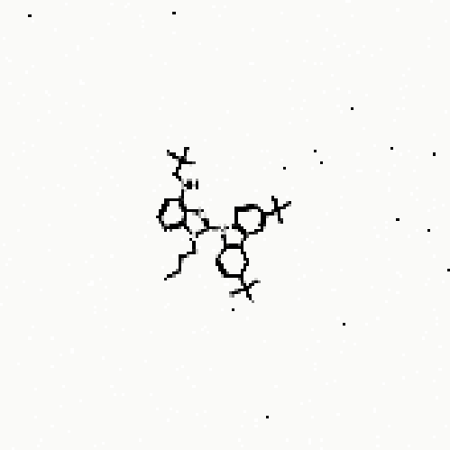 CCCCn1c(-n2c3c(c4cc(C(C)(C)C)ccc42)CC(C(C)(C)C)C=C3)nc2c(NCC(C)(C)C)cccc21